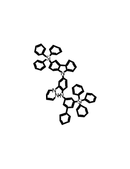 C1=CN2c3cc(-n4c5ccccc5c5cc([Si](c6ccccc6)(c6ccccc6)c6ccccc6)ccc54)ccc3N(c3cc(-c4ccccc4)cc([Si](c4ccccc4)(c4ccccc4)c4ccccc4)c3)N2C=C1